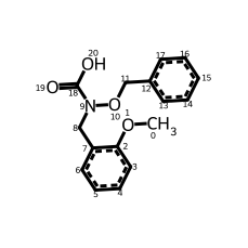 COc1ccccc1CN(OCc1ccccc1)C(=O)O